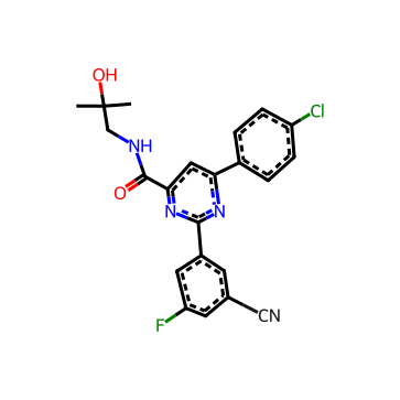 CC(C)(O)CNC(=O)c1cc(-c2ccc(Cl)cc2)nc(-c2cc(F)cc(C#N)c2)n1